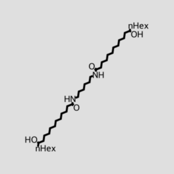 CCCCCCC(O)CCCCCCCCCCC(=O)NCCCCCCNC(=O)CCCCCCCCCCC(O)CCCCCC